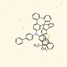 CC1(C)c2ccccc2-c2ccc(N(c3ccc(-c4ccccc4)cc3)c3ccc4c(c3)C3(c5ccccc5-c5ccccc5-4)c4ccccc4-c4c3ccc3c4sc4ccccc43)cc21